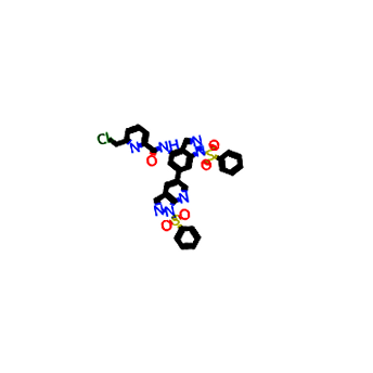 O=C(Nc1cc(-c2cnc3c(cnn3S(=O)(=O)c3ccccc3)c2)cc2c1cnn2S(=O)(=O)c1ccccc1)c1cccc(CCl)n1